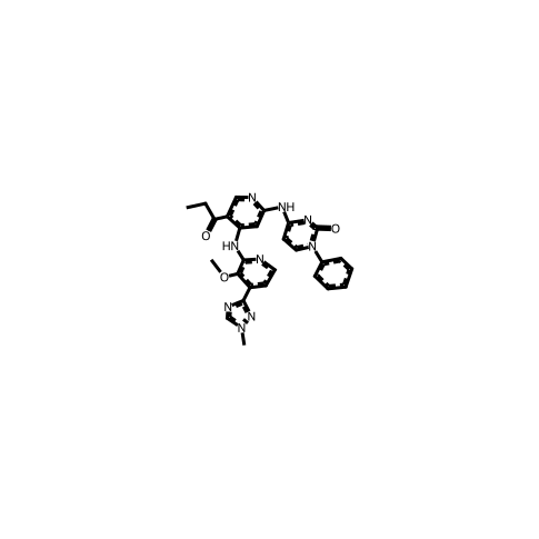 CCC(=O)c1cnc(Nc2ccn(-c3ccccc3)c(=O)n2)cc1Nc1nccc(-c2ncn(C)n2)c1OC